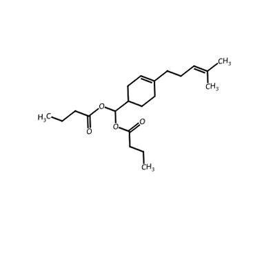 CCCC(=O)OC(OC(=O)CCC)C1CC=C(CCC=C(C)C)CC1